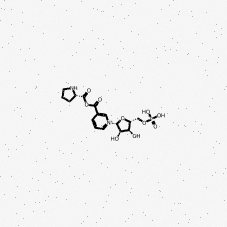 O=C(OC(=O)[C@@H]1CCCN1)c1ccc[n+]([C@@H]2O[C@H](COP(=O)(O)O)[C@@H](O)[C@H]2O)c1